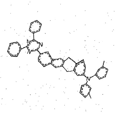 Cc1cccc(N(c2cccc(C)c2)c2ccc3c(c2)Cc2cc4ccc(-c5nc(-c6ccccc6)nc(-c6ccccc6)n5)cc4cc2C3)c1